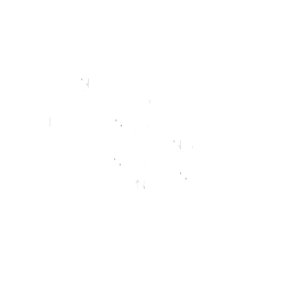 CC1CC1c1nc(-c2ncn3c2c(=O)n(CC2CCCO2)c2c(C#N)c(Cl)ccc23)no1